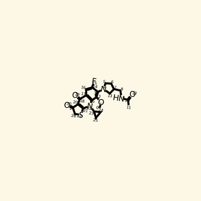 COc1c(N2CCC(CNC(C)=O)C2)c(F)cc2c(=O)c3c(n(C4CC4)c12)SCC3=O